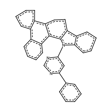 c1ccc(-c2cc(-n3c4ccccc4c4ccc5c6ccccc6c6ccccc6c5c43)ncn2)cc1